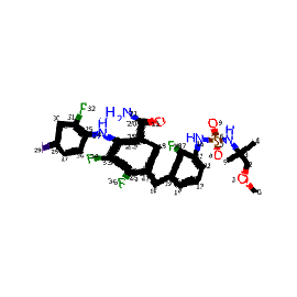 COCC(C)(C)NS(=O)(=O)Nc1cccc(Cc2cc(C(N)=O)c(Nc3ccc(I)cc3F)c(F)c2F)c1F